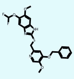 COc1cnc(CSc2nc3cc(OC(F)F)c(OC)cc3[nH]2)cc1OCc1ccccc1